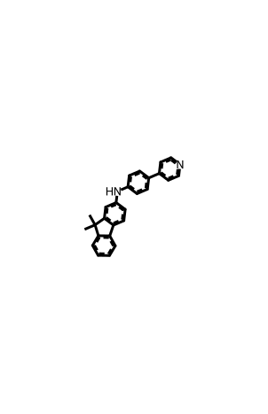 CC1(C)c2ccccc2-c2ccc(Nc3ccc(-c4ccncc4)cc3)cc21